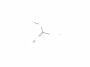 CCOC(=C=O)C(=O)O